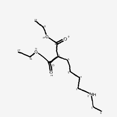 CCNCCCCC(C(=O)OCC)C(=O)OCC